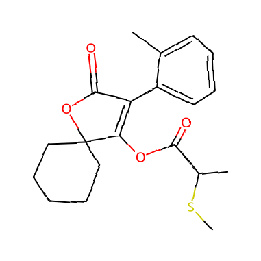 CSC(C)C(=O)OC1=C(c2ccccc2C)C(=O)OC12CCCCC2